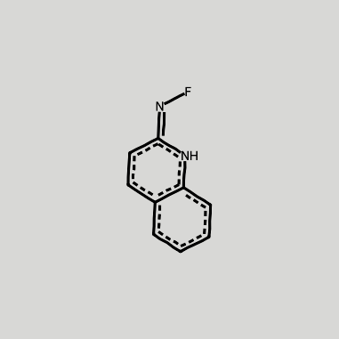 FN=c1ccc2ccccc2[nH]1